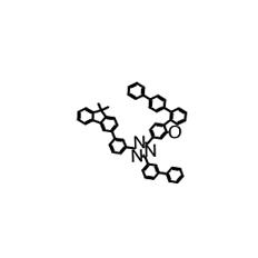 CC1(C)c2ccccc2-c2cc(-c3cccc(-c4nc(-c5cccc(-c6ccccc6)c5)nc(-c5ccc6c(c5)oc5cccc(-c7ccc(-c8ccccc8)cc7)c56)n4)c3)ccc21